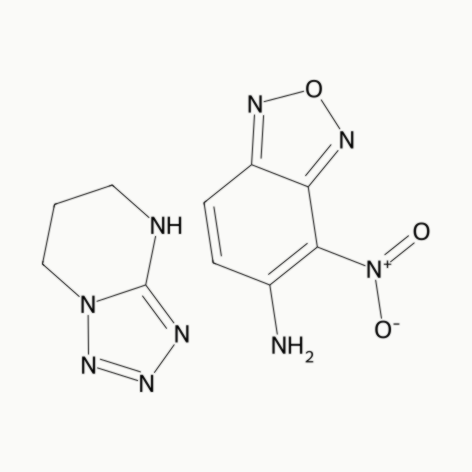 C1CNc2nnnn2C1.Nc1ccc2nonc2c1[N+](=O)[O-]